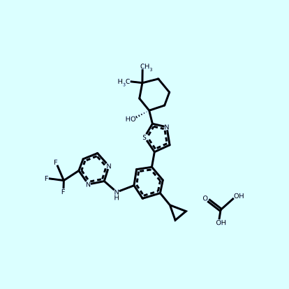 CC1(C)CCC[C@@](O)(c2ncc(-c3cc(Nc4nccc(C(F)(F)F)n4)cc(C4CC4)c3)s2)C1.O=C(O)O